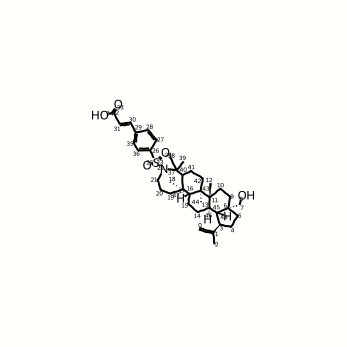 C=C(C)[C@@H]1CC[C@]2(CO)CC[C@]3(C)[C@H](CC[C@@H]4[C@@]5(C)CCCN(S(=O)(=O)c6ccc(/C=C/C(=O)O)cc6)C(C)(C)C5CC[C@]43C)[C@@H]12